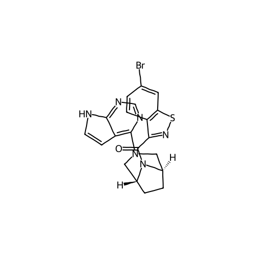 O=C(c1nsc2cc(Br)ccc12)N1[C@@H]2CC[C@@H]1CN(c1ncnc3[nH]ccc13)C2